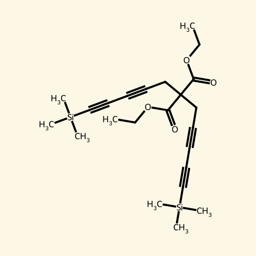 CCOC(=O)C(CC#CC#C[Si](C)(C)C)(CC#CC#C[Si](C)(C)C)C(=O)OCC